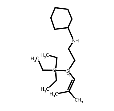 CC[Si](CC)(CC)[SiH](C=C(C)C)CCNC1CCCCC1